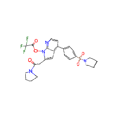 O=C(Cc1cc2c(-c3ccc(S(=O)(=O)N4CCCC4)cc3)ccnc2n1OC(=O)C(F)(F)F)N1CCCC1